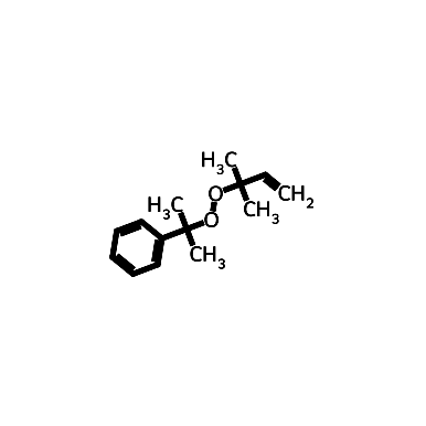 C=CC(C)(C)OOC(C)(C)c1ccccc1